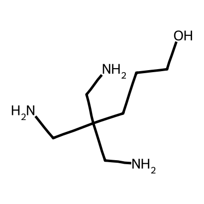 NCC(CN)(CN)CCCO